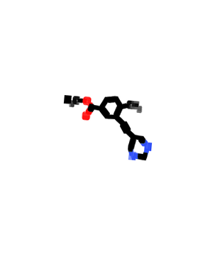 COC(=O)c1ccc(C)c(C#Cc2cncnc2)c1